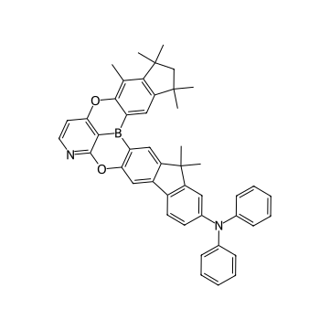 Cc1c2c(cc3c1C(C)(C)CC3(C)C)B1c3cc4c(cc3Oc3nccc(c31)O2)-c1ccc(N(c2ccccc2)c2ccccc2)cc1C4(C)C